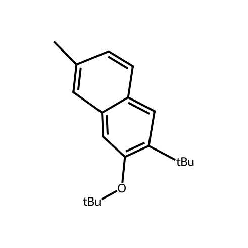 Cc1ccc2cc(C(C)(C)C)c(OC(C)(C)C)cc2c1